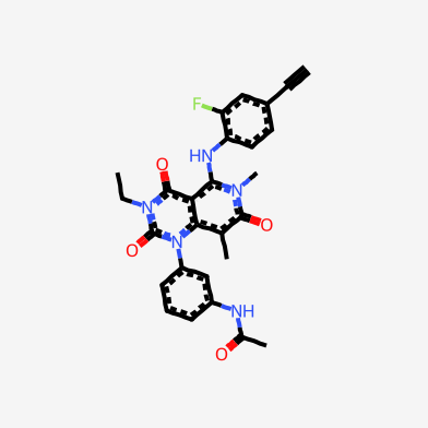 C#Cc1ccc(Nc2c3c(=O)n(CC)c(=O)n(-c4cccc(NC(C)=O)c4)c3c(C)c(=O)n2C)c(F)c1